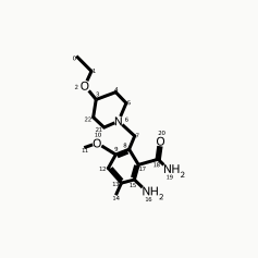 CCOC1CCN(Cc2c(OC)cc(C)c(N)c2C(N)=O)CC1